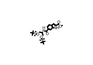 COC(=O)c1cc2ccc(C(=O)NC(CO[Si](C)(C)C(C)(C)C)CO[Si](C)(C)C(C)(C)C)cc2[nH]1